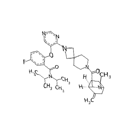 C=C1CC2CC[C@H]1[C@@H](C(=O)N1CCC3(CC1)CN(c1ncncc1Oc1ccc(F)cc1C(=O)N(C(C)C)C(C)C)C3)N2C